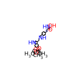 CC[C@H](Oc1ccc2[nH]cc(CCNCc3ccc(/C=C/C(=O)NO)cc3)c2c1)C(=O)OC(C)(C)C